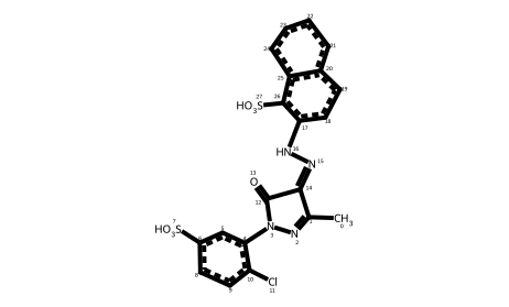 CC1=NN(c2cc(S(=O)(=O)O)ccc2Cl)C(=O)/C1=N\Nc1ccc2ccccc2c1S(=O)(=O)O